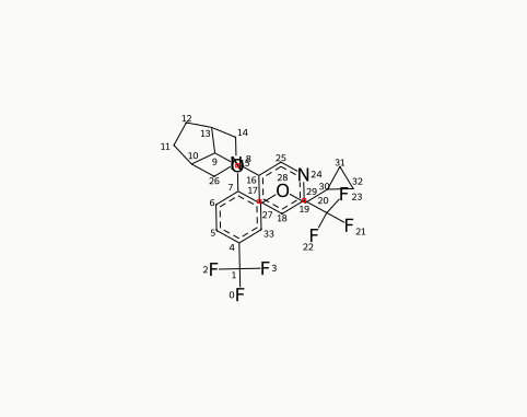 FC(F)(F)c1ccc(OC2C3CCC2CN(c2ccc(C(F)(F)F)nc2)C3)c(OCC2CC2)c1